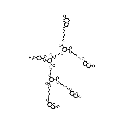 Cc1ccc(C(=O)Oc2cc(C(=O)OCCCOc3cc(C(=O)OCCCCCCOc4ccc5ccc(=O)oc5c4)cc(C(=O)OCCCCCCOc4ccc5ccc(=O)oc5c4)c3)cc(C(=O)OCCCOc3cc(C(=O)OCCCCCCOc4ccc5ccc(=O)oc5c4)cc(C(=O)OCCCCCCOc4ccc5ccc(=O)oc5c4)c3)c2)cc1